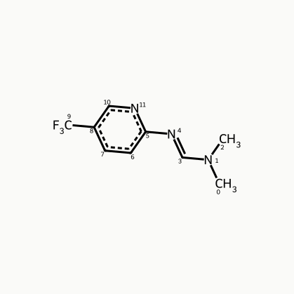 CN(C)C=Nc1ccc(C(F)(F)F)cn1